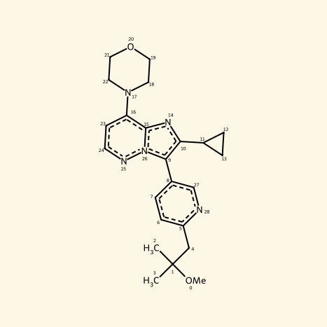 COC(C)(C)Cc1ccc(-c2c(C3CC3)nc3c(N4CCOCC4)ccnn23)cn1